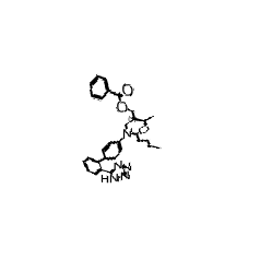 CCCCC(=O)N(C[C@@H](COC(=O)c1ccccc1)C(C)C)c1ccc(-c2ccccc2-c2nnn[nH]2)cc1